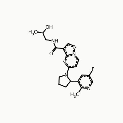 Cc1ncc(F)cc1C1CCCN1c1ccn2ncc(C(=O)NC[C@@H](C)O)c2n1